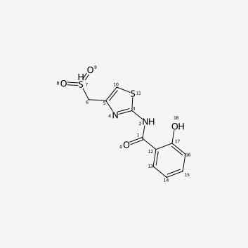 O=C(Nc1nc(C[SH](=O)=O)cs1)c1ccccc1O